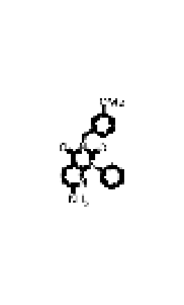 COc1cccc(Cn2c(=O)c3ccc(N)nc3n(-c3ccccc3)c2=O)c1